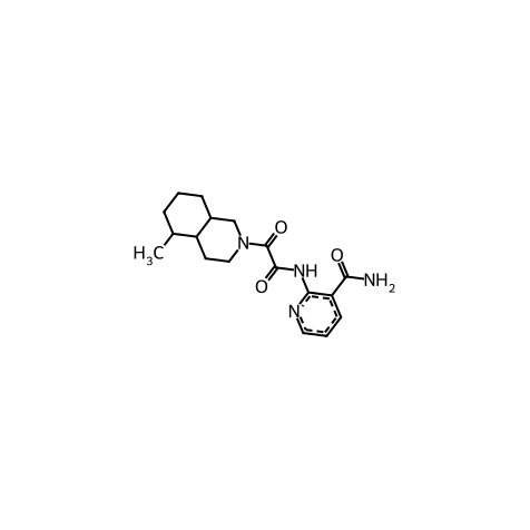 CC1CCCC2CN(C(=O)C(=O)Nc3ncccc3C(N)=O)CCC12